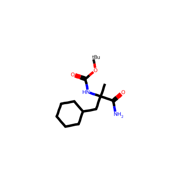 CC(C)(C)OC(=O)NC(C)(CC1CCCCC1)C(N)=O